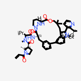 C=CC(=O)N1CC[C@H](C(=O)N(C)C(C(=O)N[C@H]2Cc3cccc(c3)-c3ccc4c(c3)c(c(-c3cccnc3[C@H](C)OC)n4CC)CC(C)(C)COC(=O)[C@@H]3CCCN(N3)C2=O)C(C)C)[C@H]1C